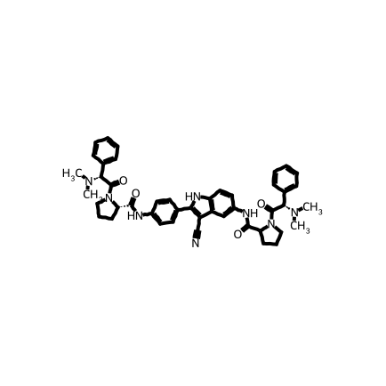 CN(C)[C@H](C(=O)N1CCCC1C(=O)Nc1ccc2[nH]c(-c3ccc(NC(=O)[C@@H]4CCCN4C(=O)[C@@H](c4ccccc4)N(C)C)cc3)c(C#N)c2c1)c1ccccc1